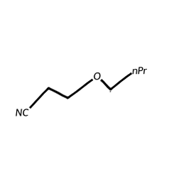 CCC[CH]OCCC#N